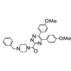 COc1ccc(-c2nnc(C(=O)N3CCN(Cc4ccccc4)CC3)nc2-c2ccc(OC)cc2)cc1